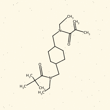 C=C(C)C(=O)N(CC)CC1CCC(CN(CC)C(=O)C(C)(C)C)CC1